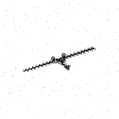 CCCCC/C=C/C/C=C/CCCCCCCC(=O)OCC(COC(=O)CCCCCCC/C=C/C/C=C/CCCCC)OC(=O)CCCN(C)C